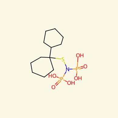 O=P(O)(O)N(SC1(C2CCCCC2)CCCCC1)P(=O)(O)O